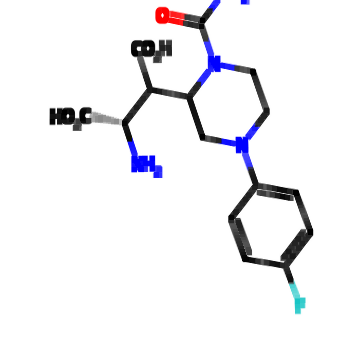 NC(=O)N1CCN(c2ccc(F)cc2)CC1C(C(=O)O)[C@H](N)C(=O)O